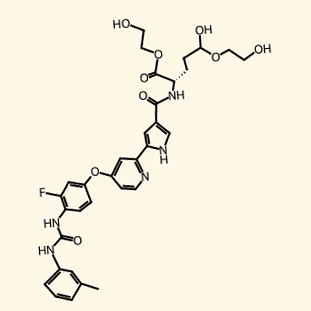 Cc1cccc(NC(=O)Nc2ccc(Oc3ccnc(-c4cc(C(=O)N[C@@H](CCC(O)OCCO)C(=O)OCCO)c[nH]4)c3)cc2F)c1